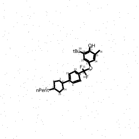 CCCCCC1CCC(c2ccc(C(F)(F)Oc3cc(C)c(O)c(C(C)(C)C)c3)cc2)CC1